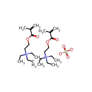 C=C(C)C(=O)OCC[N+](CC)(CC)CC.C=C(C)C(=O)OCC[N+](CC)(CC)CC.O=S(=O)([O-])[O-]